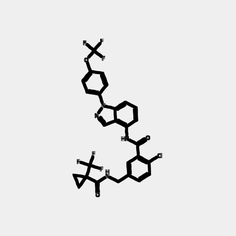 O=C(Nc1cccc2c1cnn2-c1ccc(OC(F)(F)F)cc1)c1cc(CNC(=O)C2(C(F)(F)F)CC2)ccc1Cl